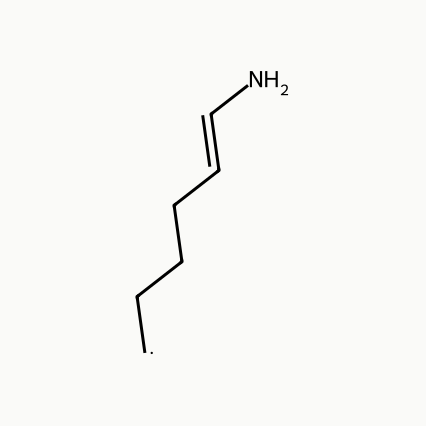 [CH2]CCCC=CN